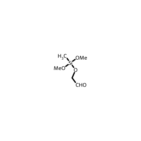 CO[Si](C)(OC)OCC=O